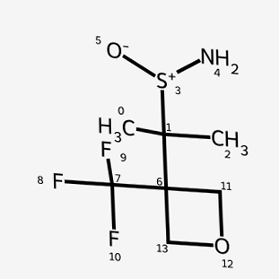 CC(C)([S+](N)[O-])C1(C(F)(F)F)COC1